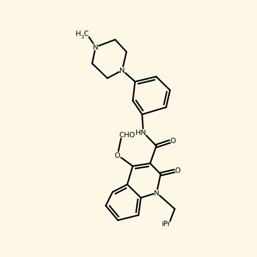 CC(C)Cn1c(=O)c(C(=O)Nc2cccc(N3CCN(C)CC3)c2)c(OC=O)c2ccccc21